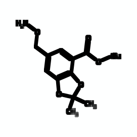 CC(C)(C)OC(=O)c1cc(CON)cc2c1OC(C)(C)O2